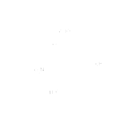 Cc1cc(C)c([N+](=O)[O-])c(OC=O)c1